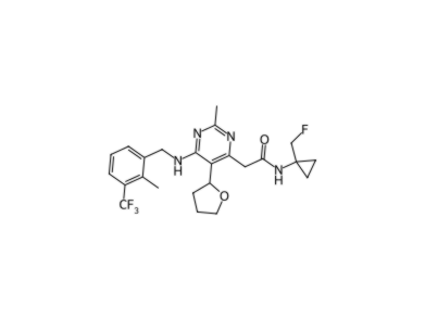 Cc1nc(CC(=O)NC2(CF)CC2)c(C2CCCO2)c(NCc2cccc(C(F)(F)F)c2C)n1